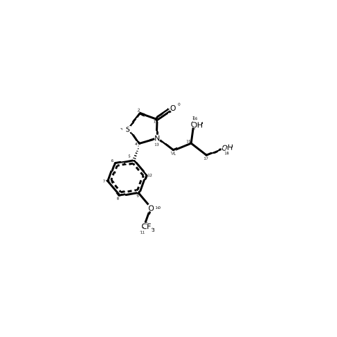 O=C1CS[C@@H](c2cccc(OC(F)(F)F)c2)N1CC(O)CO